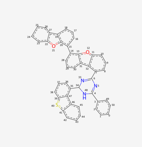 c1ccc(C2=NC(c3cccc4oc5c(-c6cccc7c6oc6ccccc67)cccc5c34)=NC(c3cccc4sc5ccccc5c34)N2)cc1